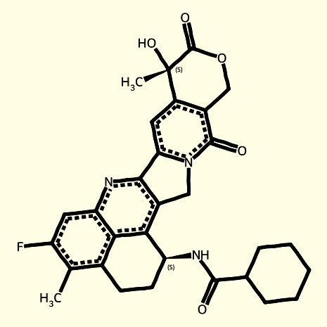 Cc1c(F)cc2nc3c(c4c2c1CC[C@@H]4NC(=O)C1CCCCC1)Cn1c-3cc2c(c1=O)COC(=O)[C@@]2(C)O